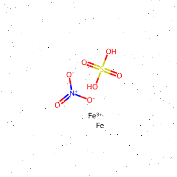 O=S(=O)(O)O.O=[N+]([O-])[O-].[Fe+3].[Fe]